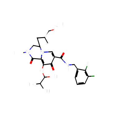 COC[C@H]1C[C@]2(CN(C)C(=O)c3c(OC(O)C(C)C)c(=O)c(C(=O)NCc4cccc(Cl)c4F)cn32)C1